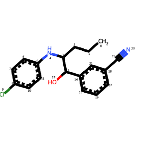 CCCC(Nc1ccc(Cl)cc1)C(O)c1cccc(C#N)c1